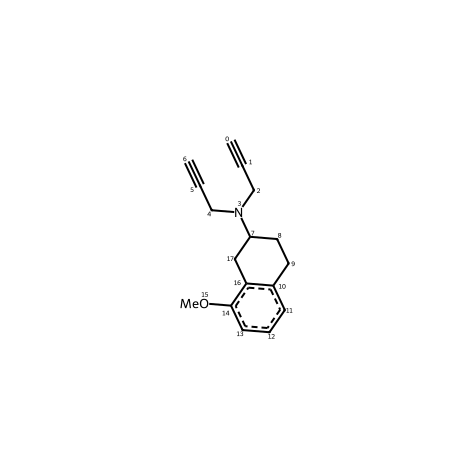 C#CCN(CC#C)C1CCc2cccc(OC)c2C1